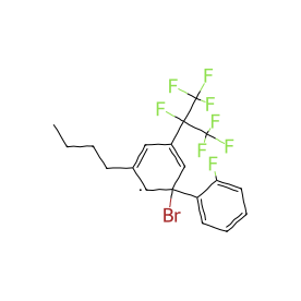 CCCCC1=CC(C(F)(C(F)(F)F)C(F)(F)F)=CC(Br)(c2ccccc2F)[CH]1